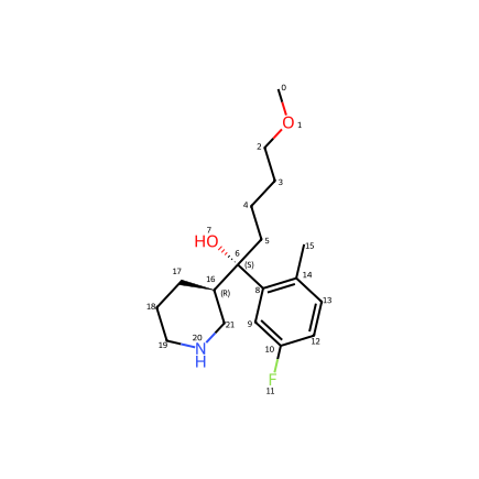 COCCCC[C@@](O)(c1cc(F)ccc1C)[C@@H]1CCCNC1